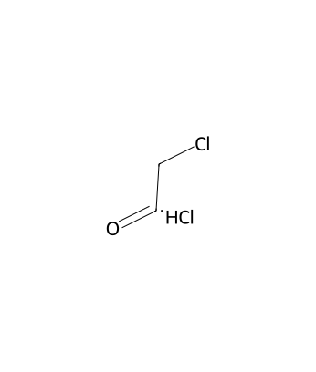 Cl.O=[C]CCl